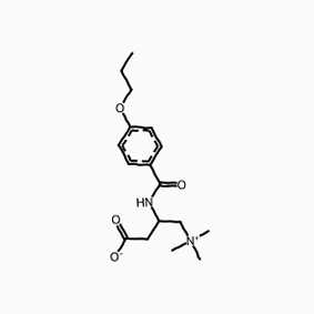 CCCOc1ccc(C(=O)NC(CC(=O)[O-])C[N+](C)(C)C)cc1